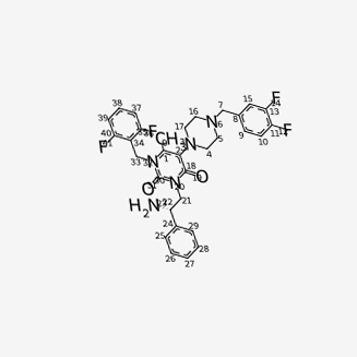 Cc1c(N2CCN(Cc3ccc(F)c(F)c3)CC2)c(=O)n(C[C@@H](N)c2ccccc2)c(=O)n1Cc1c(F)cccc1F